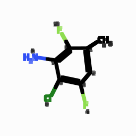 Cc1cc(F)c(Cl)c(N)c1F